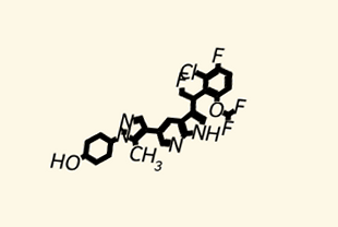 Cc1c(-c2cnc3[nH]cc(C(CF)c4c(OC(F)F)ccc(F)c4Cl)c3c2)cnn1C1CCC(O)CC1